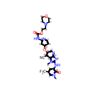 Cn1cc(C(F)(F)F)cc(Nc2nc3ncc(Oc4ccnc(NC(=O)OCCN5CCOCC5)c4)c(C#N)c3n2C)c1=O